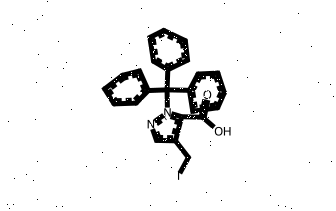 O=C(O)c1c(CI)cnn1C(c1ccccc1)(c1ccccc1)c1ccccc1